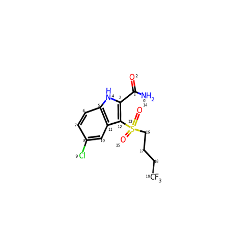 NC(=O)c1[nH]c2ccc(Cl)cc2c1S(=O)(=O)CCCC(F)(F)F